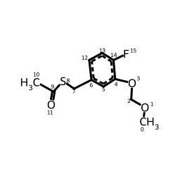 COCOc1cc(CSC(C)=O)ccc1F